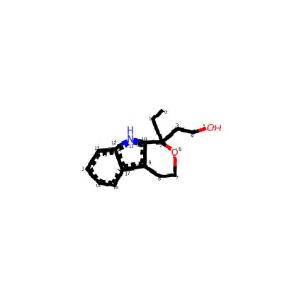 CCC1(CCO)OCCc2c1[nH]c1ccccc21